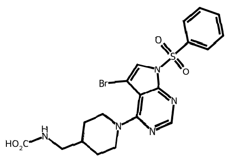 O=C(O)NCC1CCN(c2ncnc3c2c(Br)cn3S(=O)(=O)c2ccccc2)CC1